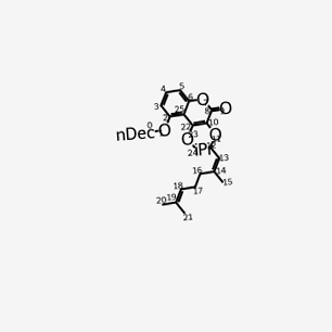 CCCCCCCCCCOc1cccc2oc(=O)c(OCC=C(C)CCC=C(C)C)c(OC(C)C)c12